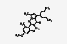 CCCC(CCC)c1cc(C)n2nc(-c3c(C)cc(OC)cc3Cl)n(C)c(=O)c12